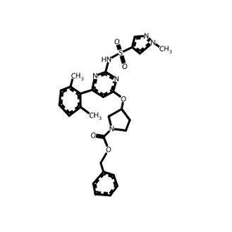 Cc1cccc(C)c1-c1cc(OC2CCN(C(=O)OCc3ccccc3)C2)nc(NS(=O)(=O)c2cnn(C)c2)n1